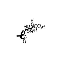 Cc1cc(=O)oc2cc(C(=O)[C@H](O)[C@@H](O)[C@H](O)[C@H](O)C(=O)O)ccc12